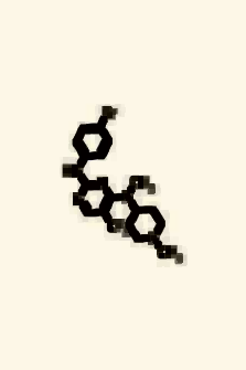 CN1CCC(N(C)c2nc(Nc3ccc(Br)cc3)ncc2C(F)(F)F)CC1